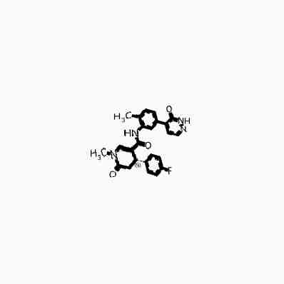 Cc1ccc(-c2ccn[nH]c2=O)cc1NC(=O)C1=CN(C)C(=O)C[C@H]1c1ccc(F)cc1